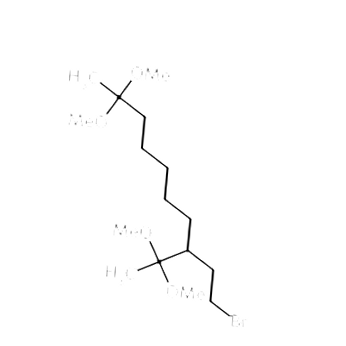 COC(C)(CCCCCC(CCBr)C(C)(OC)OC)OC